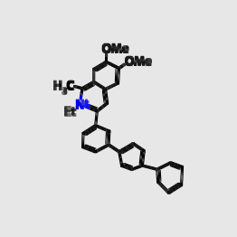 CC[n+]1c(-c2cccc(-c3ccc(-c4ccccc4)cc3)c2)cc2cc(OC)c(OC)cc2c1C